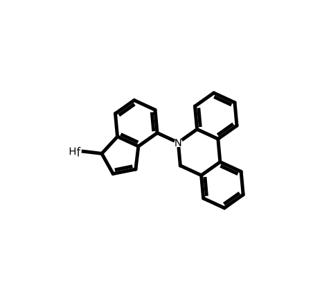 [Hf][CH]1C=Cc2c1cccc2N1Cc2ccccc2-c2ccccc21